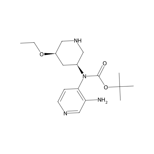 CCO[C@H]1CNC[C@@H](N(C(=O)OC(C)(C)C)c2ccncc2N)C1